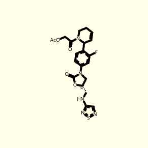 CC(=O)OCC(=O)N1CCC=CC1c1ccc(N2C[C@H](CNc3cnsn3)OC2=O)cc1F